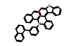 c1cc(-c2cccc3ccccc23)cc(N(c2ccccc2-c2cccc3sc4ccccc4c23)c2cccc3ccccc23)c1